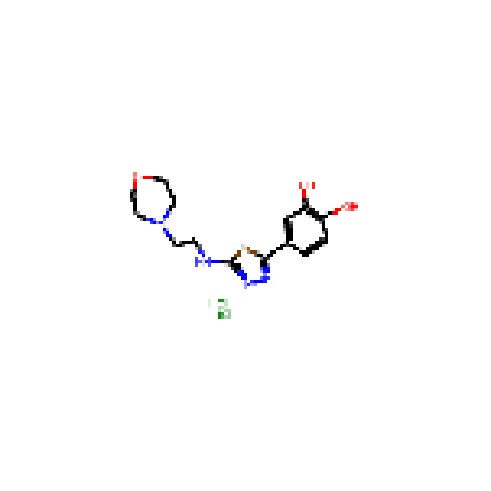 Cl.Cl.Oc1ccc(-c2nnc(NCCN3CCOCC3)s2)cc1O